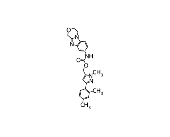 Cc1ccc(-c2cc(COC(=O)Nc3ccc4c(c3)nc3n4CCOC3)n(C)n2)c(C)c1